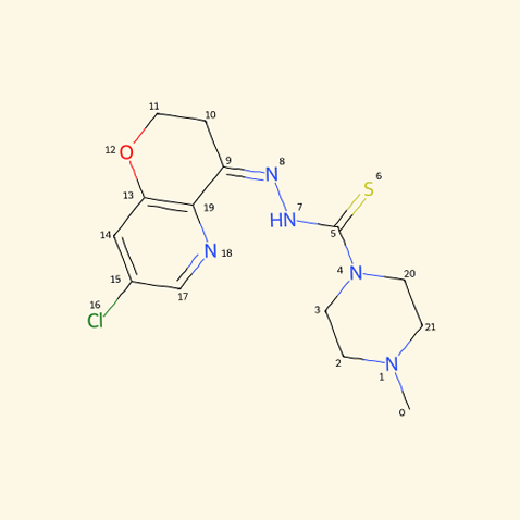 CN1CCN(C(=S)N/N=C2/CCOc3cc(Cl)cnc32)CC1